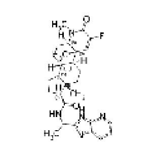 CC(NC(=O)[C@H]1CC[C@H]2[C@@H]3CC[C@H]4N(C)C(=O)C(F)=C[C@]4(C)[C@H]3CC[C@]12C)c1nc2cccnc2[nH]1